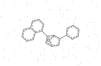 c1ccc(-c2cc3cc(-c4cccc5ccccc45)c2o3)cc1